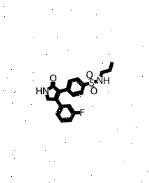 CCCNS(=O)(=O)c1ccc(C2=C(c3cccc(F)c3)CNC2=O)cc1